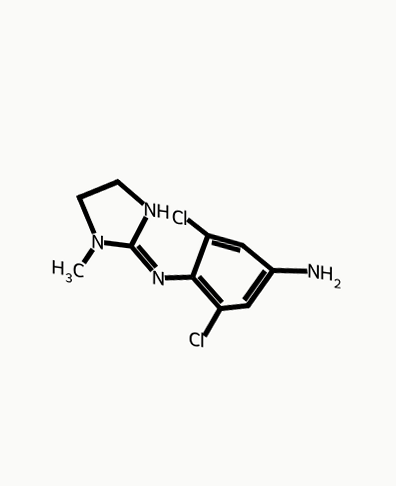 CN1CCN/C1=N\c1c(Cl)cc(N)cc1Cl